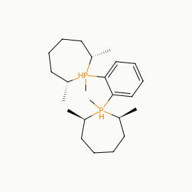 C[C@@H]1CCCC[C@H](C)[PH]1(C)c1ccccc1[PH]1(C)[C@H](C)CCCC[C@@H]1C